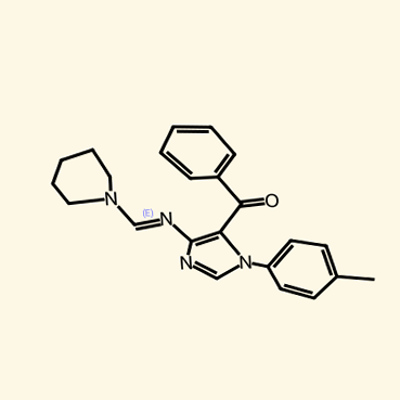 Cc1ccc(-n2cnc(/N=C/N3CCCCC3)c2C(=O)c2ccccc2)cc1